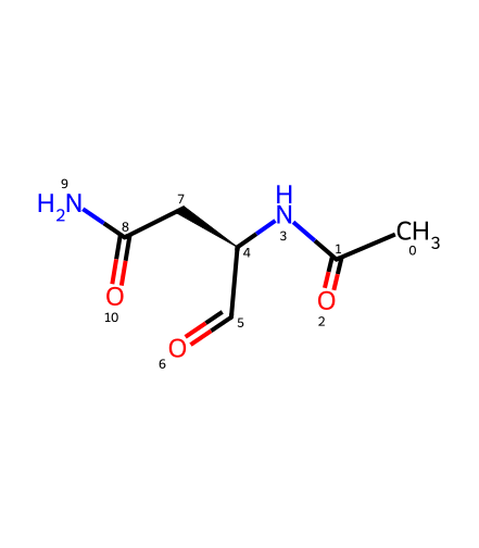 CC(=O)N[C@@H](C=O)CC(N)=O